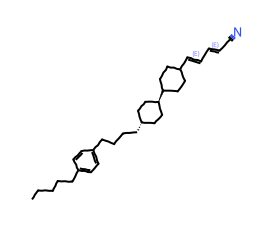 CCCCCc1ccc(CCCC[C@H]2CC[C@H](C3CCC(/C=C/C=C/C#N)CC3)CC2)cc1